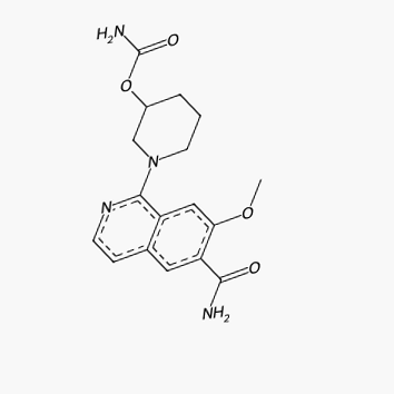 COc1cc2c(N3CCCC(OC(N)=O)C3)nccc2cc1C(N)=O